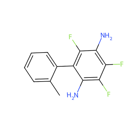 Cc1ccccc1-c1c(N)c(F)c(F)c(N)c1F